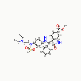 CCN(CC)CCN(c1ccc(NC(=C2C(=O)Nc3cc(C(=O)OC)ccc32)c2ccccc2)cc1)S(C)(=O)=O